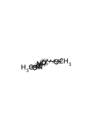 CCCOCCCCCc1ccc(-c2ncc(OCC)cn2)cc1